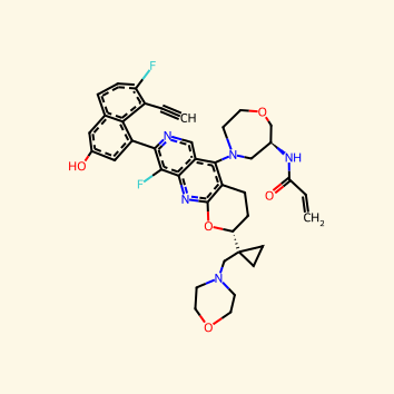 C#Cc1c(F)ccc2cc(O)cc(-c3ncc4c(N5CCOC[C@@H](NC(=O)C=C)C5)c5c(nc4c3F)O[C@@H](C3(CN4CCOCC4)CC3)CC5)c12